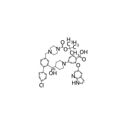 CC(C)(C)OC(=O)N1CCN(Cc2ccc(-c3ccc(Cl)cc3)c([C@H](O)C3CCN(c4ccc(C(=O)O)c(Oc5cnc6[nH]ccc6c5)c4)CC3)c2)CC1